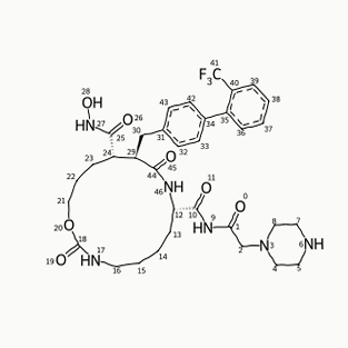 O=C(CN1CCNCC1)NC(=O)[C@@H]1CCCCNC(=O)OCCC[C@H](C(=O)NO)[C@@H](Cc2ccc(-c3ccccc3C(F)(F)F)cc2)C(=O)N1